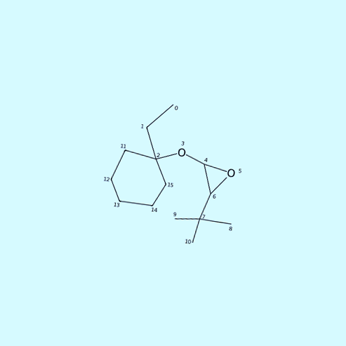 CCC1(OC2OC2C(C)(C)C)CCCCC1